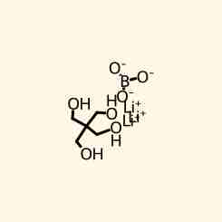 OCC(CO)(CO)CO.[Li+].[Li+].[Li+].[O-]B([O-])[O-]